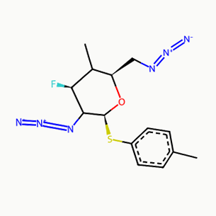 Cc1ccc(S[C@@H]2O[C@H](CN=[N+]=[N-])C(C)[C@H](F)C2N=[N+]=[N-])cc1